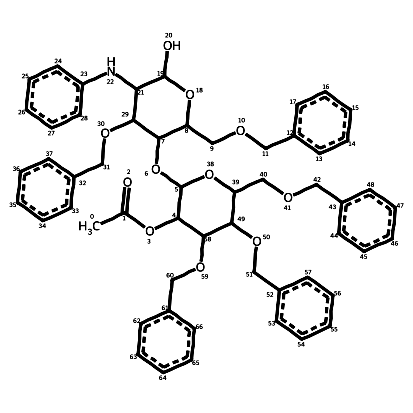 CC(=O)OC1C(OC2C(COCc3ccccc3)OC(O)C(Nc3ccccc3)C2OCc2ccccc2)OC(COCc2ccccc2)C(OCc2ccccc2)C1OCc1ccccc1